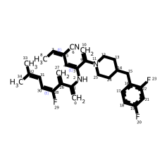 C=C(N/C(=C/C(C#N)=C\C)C(=C)N1CCC(Cc2ccc(F)cc2F)CC1)C(=C)/C(F)=C\C=C(C)C